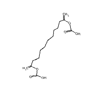 C=C(CCCCCCCCCC(=C)OC(=O)O)OC(=O)O